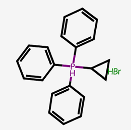 Br.c1ccc([PH](c2ccccc2)(c2ccccc2)C2CC2)cc1